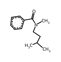 CC(C)CCN(C)C(=O)c1c[c]ccc1